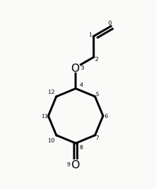 C=CCOC1CCCC(=O)CCC1